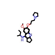 CCC(C)Nc1c2c(nc3cc(OCCCN4CCCC4)c(OC)cc13)CCC2